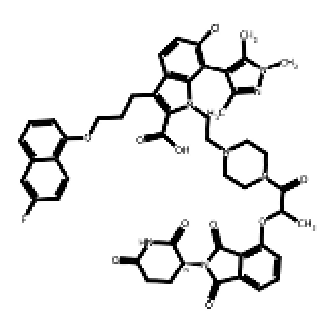 Cc1nn(C)c(C)c1-c1c(Cl)ccc2c(CCCOc3cccc4cc(F)ccc34)c(C(=O)O)n(CCN3CCN(C(=O)C(C)Oc4cccc5c4C(=O)N([C@H]4CCC(=O)NC4=O)C5=O)CC3)c12